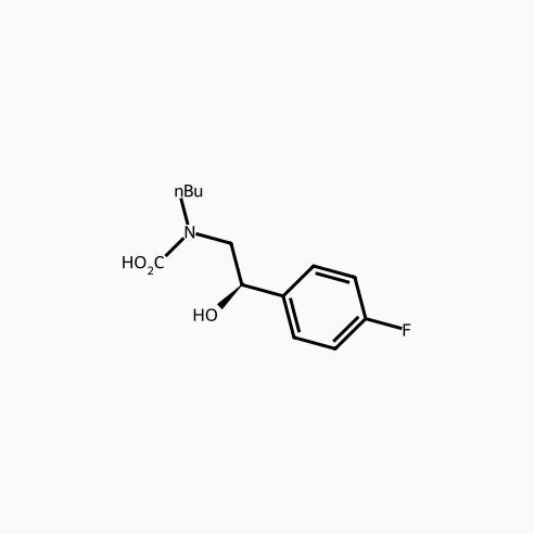 CCCCN(C[C@H](O)c1ccc(F)cc1)C(=O)O